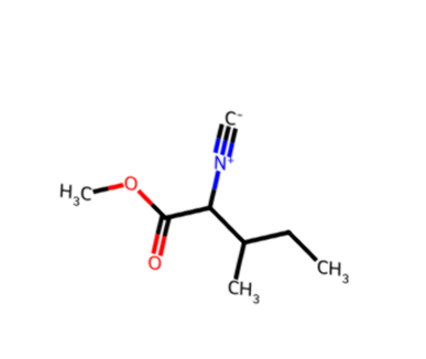 [C-]#[N+]C(C(=O)OC)C(C)CC